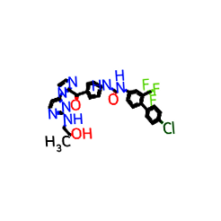 CC(O)CNc1nccc(-n2ccnc2C(=O)c2ccc(NC(=O)Nc3ccc(-c4ccc(Cl)cc4)c(C(F)(F)F)c3)cc2)n1